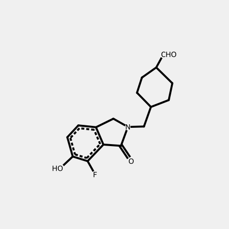 O=CC1CCC(CN2Cc3ccc(O)c(F)c3C2=O)CC1